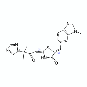 Cn1cnc2ccc(/C=c3\s/c(=C/C(=O)C(C)(C)n4cncn4)[nH]c3=O)cc21